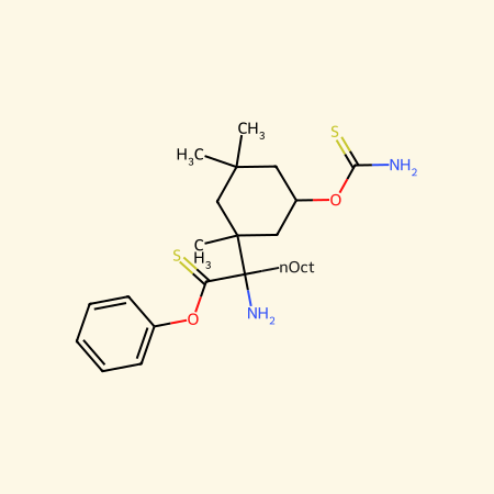 CCCCCCCCC(N)(C(=S)Oc1ccccc1)C1(C)CC(OC(N)=S)CC(C)(C)C1